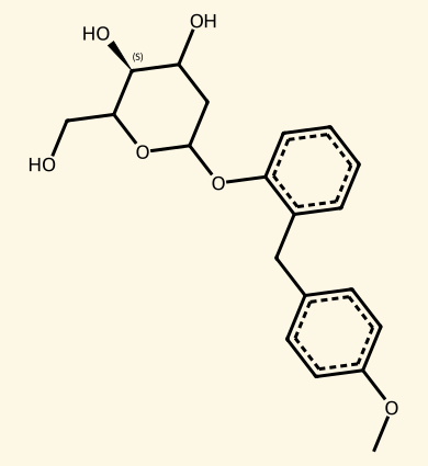 COc1ccc(Cc2ccccc2OC2CC(O)[C@H](O)C(CO)O2)cc1